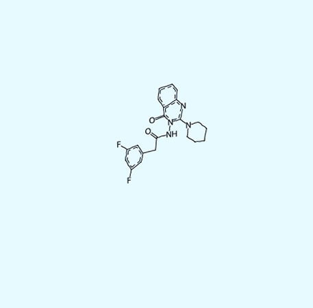 O=C(Cc1cc(F)cc(F)c1)Nn1c(N2CCCCC2)nc2ccccc2c1=O